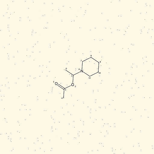 [CH2]C(OC(C)=O)N1CCCCC1